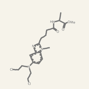 COC(=O)C(C)NC(=O)CCCc1nc2cc(N(CCCl)CCCl)ccc2n1C